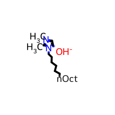 CCCCCCCCCCCCCC[n+]1ccn(C)c1C.[OH-]